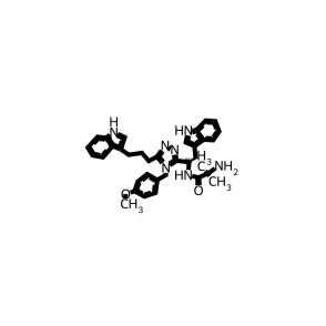 COc1ccc(Cn2c(CCCc3c[nH]c4ccccc34)nnc2[C@@H](Cc2c[nH]c3ccccc23)NC(=O)C(C)(C)N)cc1